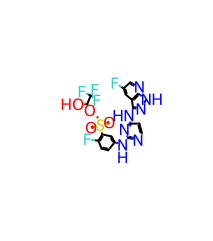 CS(=O)(=O)c1cc(Nc2nccc(Nc3n[nH]c4ncc(F)cc34)n2)ccc1F.O=C(O)C(F)(F)F